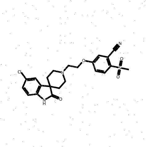 CS(=O)(=O)c1ccc(OCCN2CCC3(CC2)C(=O)Nc2ccc(Cl)cc23)cc1C#N